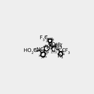 CCC[C@H]1N(C(=O)c2cnccc2C(F)(F)F)CCC[C@@]1(Oc1ccc(C(F)(F)F)cc1)C(=O)N1CCC(C#N)(c2ccccc2CCC(=O)O)CC1